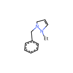 CCN1C=CCN1Cc1ccccc1